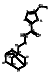 CSc1ccc(C(=O)NCCC23CC4CC(CC(C4)C2)C3)s1